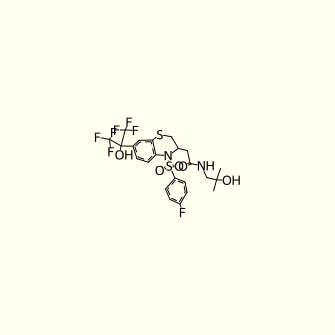 CC(C)(O)CNC(=O)CC1CSc2cc(C(O)(C(F)(F)F)C(F)(F)F)ccc2N1S(=O)(=O)c1ccc(F)cc1